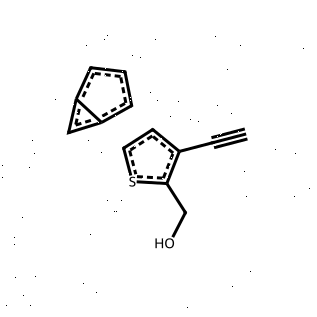 C#Cc1ccsc1CO.c1cc2cc-2c1